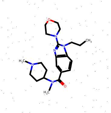 CCCn1c(N2CCOCC2)nc2cc(C(=O)N(C)C3CCN(C)CC3)ccc21